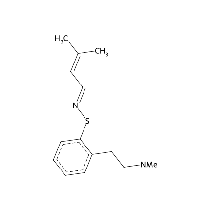 CNCCc1ccccc1SN=CC=C(C)C